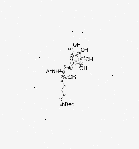 CCCCCCCCCCCCCCC[C@@H](O)[C@H](CO[C@H]1O[C@H](CO)[C@H](O)[C@H](O)[C@H]1O)NC(C)=O